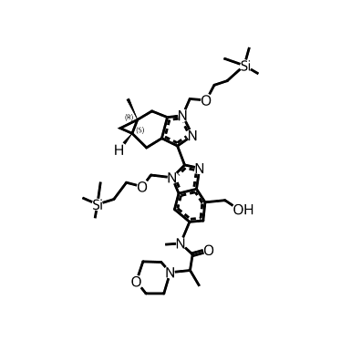 CC(C(=O)N(C)c1cc(CO)c2nc(-c3nn(COCC[Si](C)(C)C)c4c3C[C@@H]3C[C@]3(C)C4)n(COCC[Si](C)(C)C)c2c1)N1CCOCC1